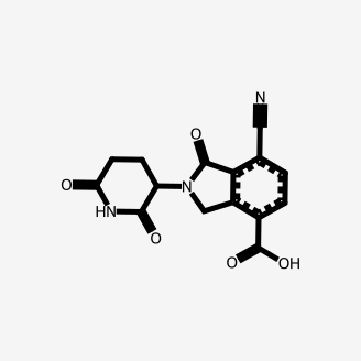 N#Cc1ccc(C(=O)O)c2c1C(=O)N(C1CCC(=O)NC1=O)C2